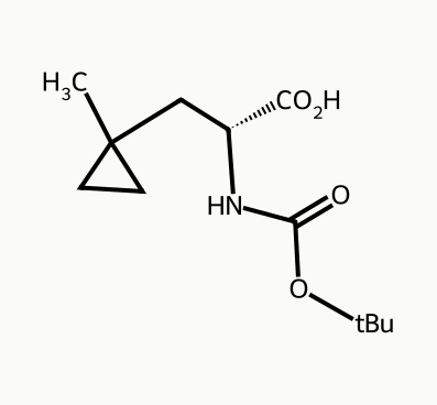 CC1(C[C@@H](NC(=O)OC(C)(C)C)C(=O)O)CC1